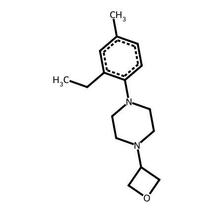 CCc1cc(C)ccc1N1CCN(C2COC2)CC1